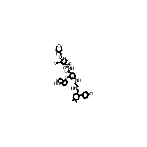 CC1(C)CCC(CNCCNc2ccc(C(=O)NS(=O)(=O)c3cnc(OCC4(F)CCOCC4)c(C#N)c3)c(Oc3cccc4[nH]ncc34)c2)=C(c2ccc(Cl)cc2)C1